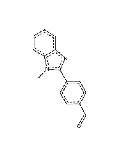 Cn1c(-c2ccc(C=O)cc2)nc2ccccc21